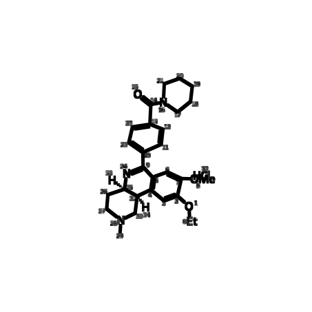 CCOc1cc2c(cc1OC)C(c1ccc(C(=O)N3CCCCC3)cc1)=N[C@@H]1CCN(C)C[C@H]21.Cl